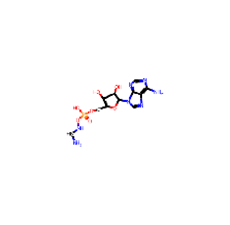 NBNOP(=O)(O)OCC1OC(n2cnc3c(N)ncnc32)C(O)C1O